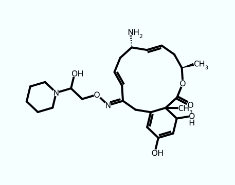 C[C@@H]1C/C=C/[C@@H](N)C/C=C/C(=N\OCC(O)N2CCCCC2)CC2=CC(O)=CC(O)C2(C)C(=O)O1